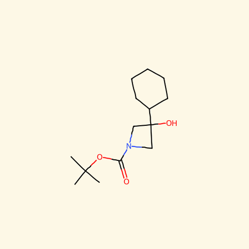 CC(C)(C)OC(=O)N1CC(O)(C2CCCCC2)C1